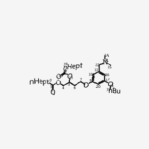 CCCCCCCC(=O)OCC(CCOc1cc(CN(C)C)cc(OCCCC)c1)OC(=O)CCCCCCC